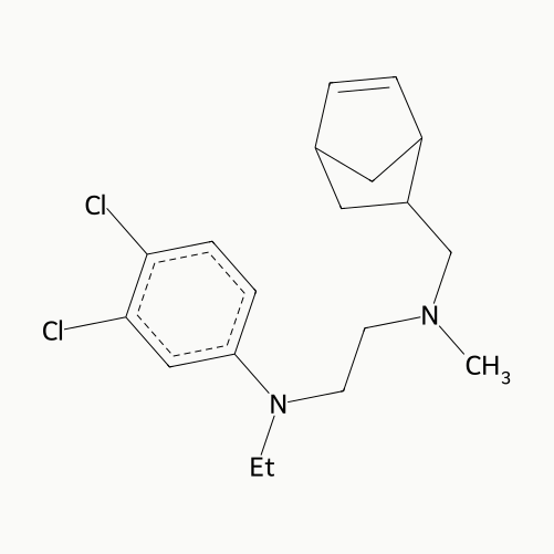 CCN(CCN(C)CC1CC2C=CC1C2)c1ccc(Cl)c(Cl)c1